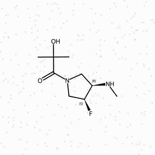 CN[C@@H]1CN(C(=O)C(C)(C)O)C[C@@H]1F